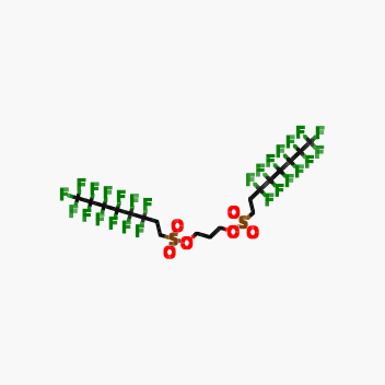 O=S(=O)(CCC(F)(F)C(F)(F)C(F)(F)C(F)(F)C(F)(F)C(F)(F)F)OCCCOS(=O)(=O)CCC(F)(F)C(F)(F)C(F)(F)C(F)(F)C(F)(F)C(F)(F)F